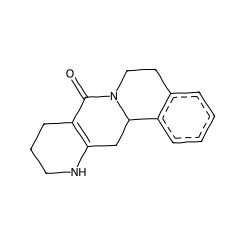 O=C1C2=C(CC3c4ccccc4CCN13)NCCC2